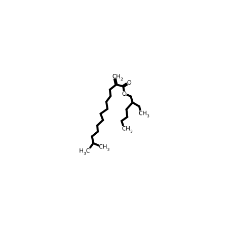 C=C(CCCCCCCCCC(C)C)C(=O)OCC(CC)CCCC